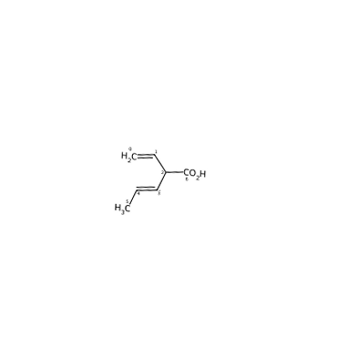 C=CC([C]=CC)C(=O)O